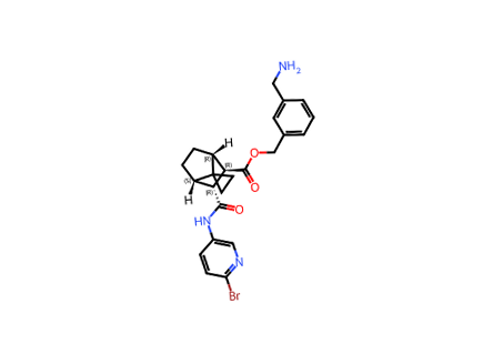 NCc1cccc(COC(=O)[C@H]2[C@H](C(=O)Nc3ccc(Br)nc3)[C@@H]3CC[C@H]2C32CC2)c1